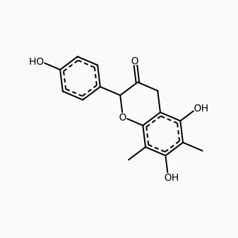 Cc1c(O)c(C)c2c(c1O)CC(=O)C(c1ccc(O)cc1)O2